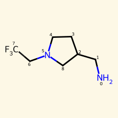 NCC1CCN(CC(F)(F)F)C1